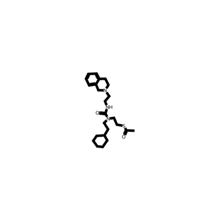 CC(=O)SCCN(CCC1CCCCC1)C(=O)NCCN1CCc2ccccc2C1